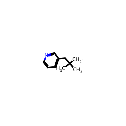 [CH2]C(C)(C)Cc1cccnc1